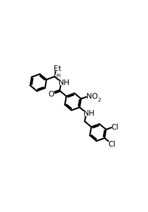 CC[C@@H](NC(=O)c1ccc(NCc2ccc(Cl)c(Cl)c2)c([N+](=O)[O-])c1)c1ccccc1